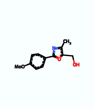 COc1ccc(-c2nc(C)c(CO)o2)cc1